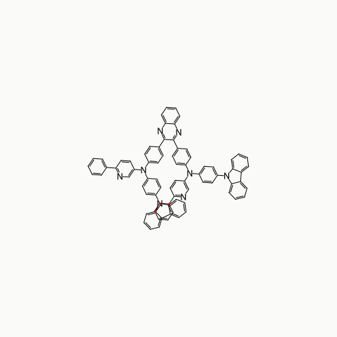 c1ccc(-c2ccc(N(c3ccc(-c4nc5ccccc5nc4-c4ccc(N(c5ccc(-n6c7ccccc7c7ccccc76)cc5)c5ccc(-c6ccccc6)nc5)cc4)cc3)c3ccc(-n4c5ccccc5c5ccccc54)cc3)cn2)cc1